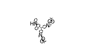 C=C(C)C(=O)OCCN(CC)c1ccc(C(c2ccc(Nc3ccccc3)c3ccccc23)C2C=CC(=[N+](CC)CCOC(=O)C(=C)C)C=C2)cc1